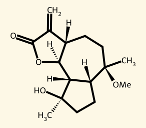 C=C1C(=O)O[C@@H]2[C@@H]3[C@@H](CC[C@@]3(C)O)[C@](C)(OC)CC[C@@H]12